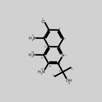 Bc1c(Cl)ccc2nc(C(C)(C)O)c(N)c(B)c12